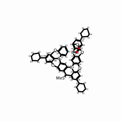 CSC1c2cc3c(cc2B2c4cc5c(cc4Oc4cc(C6CCCCC6)cc1c42)Oc1cc(C2CCCCC2)cc2c1B5c1ccccc1O2)B1c2ccccc2Oc2cc(C4CCCCC4)cc(c21)O3